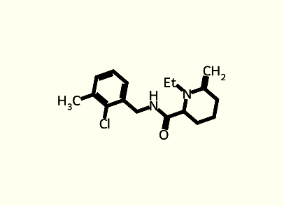 C=C1CCCC(C(=O)NCc2cccc(C)c2Cl)N1CC